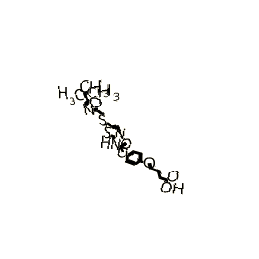 CC(C)(C)c1cnc(CSc2cnc(NC(=O)Oc3ccc(OCCCC(=O)O)cc3)s2)o1